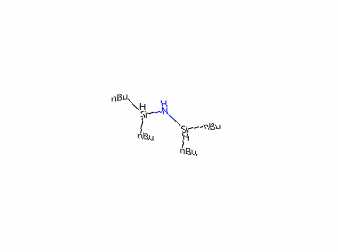 CCCC[SiH](CCCC)N[SiH](CCCC)CCCC